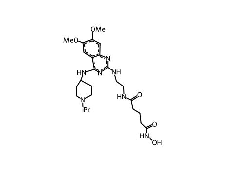 COc1cc2nc(NCCNC(=O)CCCC(=O)NO)nc(NC3CCN(C(C)C)CC3)c2cc1OC